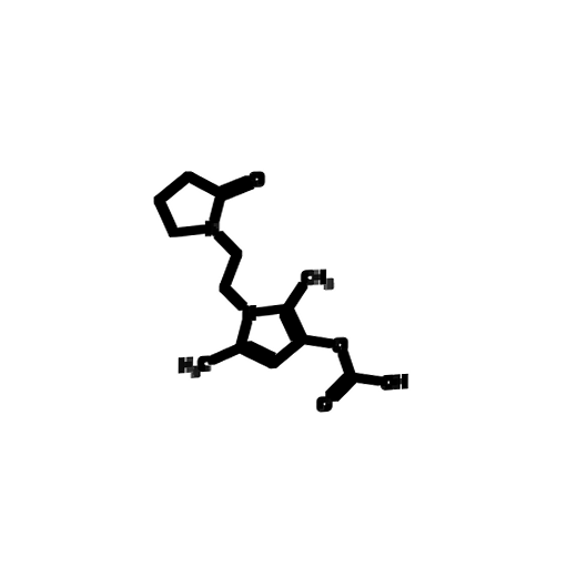 Cc1cc(OC(=O)O)c(C)n1CCN1CCCC1=O